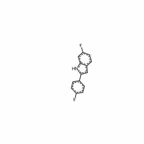 Fc1[c]cc2cc(-c3ccc(F)cc3)[nH]c2c1